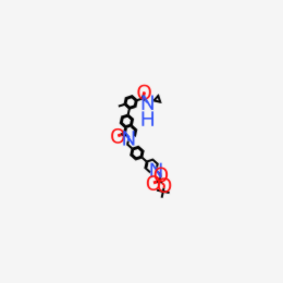 Cc1ccc(C(=O)NC2CC2)cc1-c1ccc2c(=O)n(Cc3ccc(C4=CCN(OC(=O)OC(C)(C)C)CC4)cc3)ccc2c1